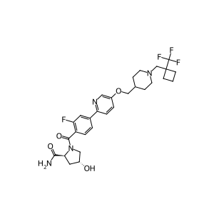 NC(=O)[C@@H]1C[C@@H](O)CN1C(=O)c1ccc(-c2ccc(OCC3CCN(CC4(C(F)(F)F)CCC4)CC3)cn2)cc1F